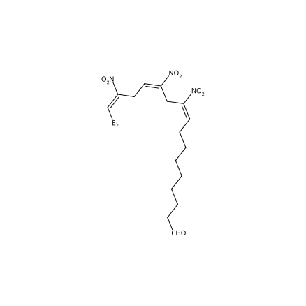 CC/C=C(\C/C=C(\C/C(=C\CCCCCCC[C]=O)[N+](=O)[O-])[N+](=O)[O-])[N+](=O)[O-]